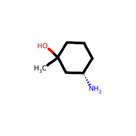 CC1(O)CCC[C@H](N)C1